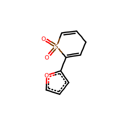 O=S1(=O)C=CCC=C1c1ccco1